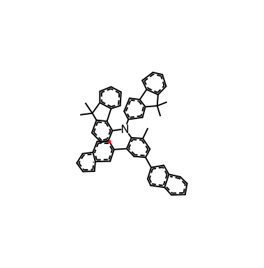 Cc1cc(-c2ccc3ccccc3c2)cc(-c2ccc3ccccc3c2)c1N(c1ccc2c(c1)C(C)(C)c1ccccc1-2)c1cccc2c1-c1ccccc1C2(C)C